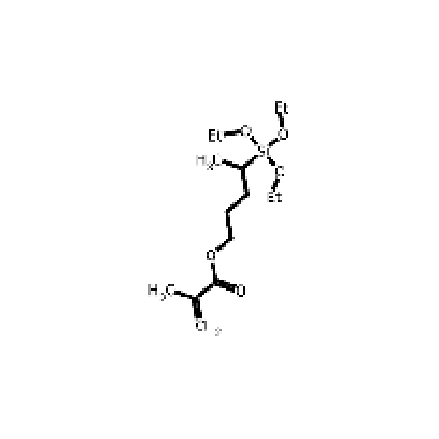 C=C(C)C(=O)OCCCC(C)[Si](OCC)(OCC)OCC